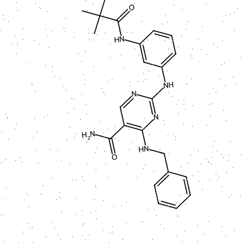 CC(C)(C)C(=O)Nc1cccc(Nc2ncc(C(N)=O)c(NCc3ccccc3)n2)c1